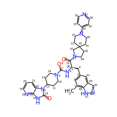 Cc1cc(C[C@@H](NC(=O)N2CCC(n3c(=O)[nH]c4ncccc43)CC2)C(=O)N2CCC3(CCN(c4ccncc4)CC3)C2)cc2cn[nH]c12